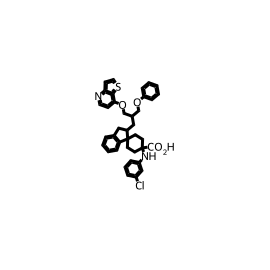 O=C(O)C1(Nc2cccc(Cl)c2)CCC2(CC1)c1ccccc1CC2CC(COc1ccccc1)COc1ccnc2ccsc12